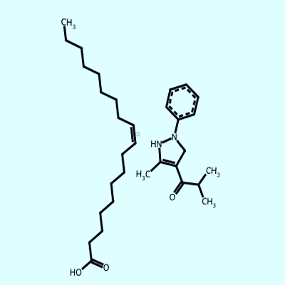 CC1=C(C(=O)C(C)C)CN(c2ccccc2)N1.CCCCCCCC/C=C\CCCCCCCC(=O)O